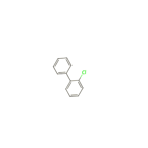 Clc1ccccc1-c1[c]cccc1